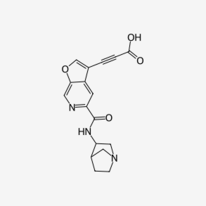 O=C(O)C#Cc1coc2cnc(C(=O)NC3CN4CCC3C4)cc12